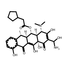 C[C@H]1c2cccc(O)c2C(=O)C2=C(O)[C@]3(O)C(=O)C(C(N)O)=C(O)[C@@H](N(C)C)[C@@H]3[C@@H](OC(=O)CC3CCCC3)[C@@H]21